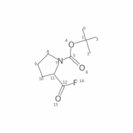 CC(C)(C)OC(=O)N1CCCC1C(=O)F